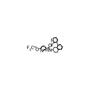 O=C(N[C@@H]1CCc2cccc(-c3cccnc3F)c2C1)c1ccc(OCC(F)(F)F)nc1